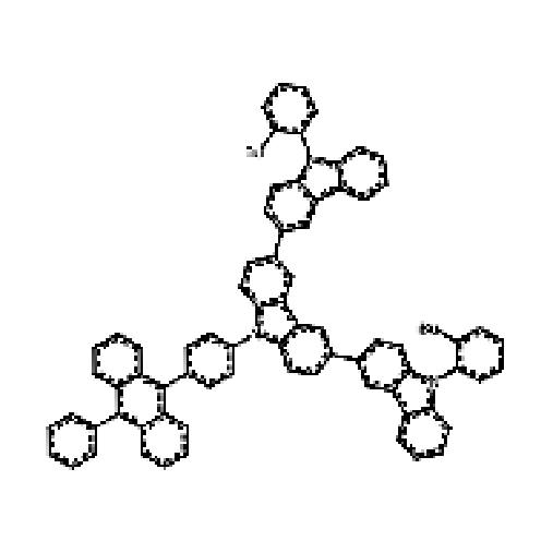 CCC(C)c1ccccc1-n1c2ccccc2c2cc(-c3ccc4c(c3)c3cc(-c5ccc6c(c5)c5ccccc5n6-c5ccccc5C(C)CC)ccc3n4-c3ccc(-c4c5ccccc5c(-c5ccccc5)c5ccccc45)cc3)ccc21